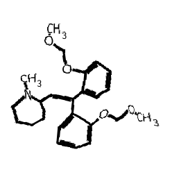 COCOc1ccccc1C(=CC1CCCCN1C)c1ccccc1OCOC